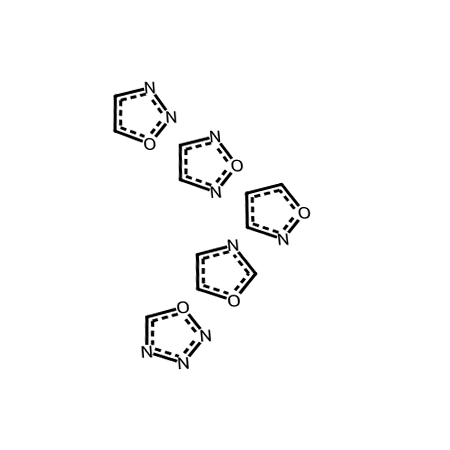 c1cnoc1.c1cnon1.c1cocn1.c1conn1.c1nnno1